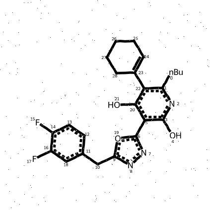 CCCCc1nc(O)c(-c2nnc(Cc3ccc(F)c(F)c3)o2)c(O)c1C1=CCCCC1